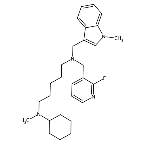 CN(CCCCCN(Cc1cccnc1F)Cc1cn(C)c2ccccc12)C1CCCCC1